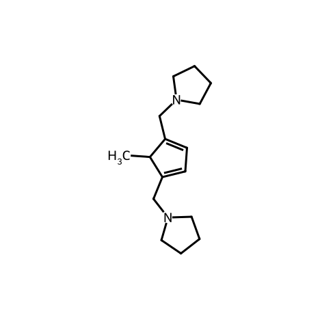 CC1C(CN2CCCC2)=CC=C1CN1CCCC1